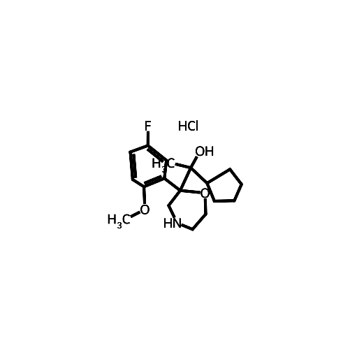 COc1ccc(F)cc1C1(C(C)(O)C2CCCC2)CNCCO1.Cl